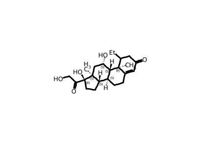 [CH2]CC1CC(=O)C=C2CC[C@@H]3[C@H]([C@@H](O)C[C@@]4(C)[C@H]3CC[C@]4(O)C(=O)CO)[C@]21C